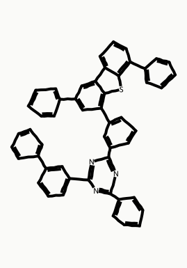 c1ccc(-c2cccc(-c3nc(-c4ccccc4)nc(-c4cccc(-c5cc(-c6ccccc6)cc6c5sc5c(-c7ccccc7)cccc56)c4)n3)c2)cc1